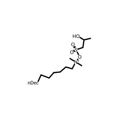 CCCCCCCCCCCCCCCC[N+](C)(C)OS(=O)(=O)CC(C)O